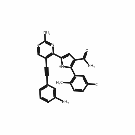 Cc1ccc(Cl)cc1-c1[nH]c(-c2nc(N)ncc2C#Cc2cccc(N)c2)cc1C(N)=O